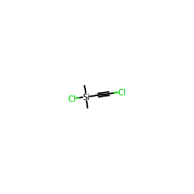 C[Si](C)(Cl)C#CCl